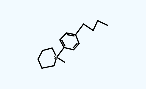 CCCCc1ccc([Si]2(C)CCCCC2)cc1